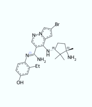 CCc1cc(O)ccc1/N=C(\N)c1cnn2cc(Br)cc2c1N[C@@H]1CC[C@](C)(N)C1(C)C